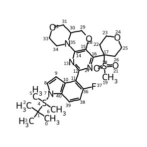 CC(C)(C)S(C)(C)n1ccc2c(-c3nc4c(c(C5(S(C)(=O)=O)CCOCC5)n3)OCC3COCCN43)c(F)ccc21